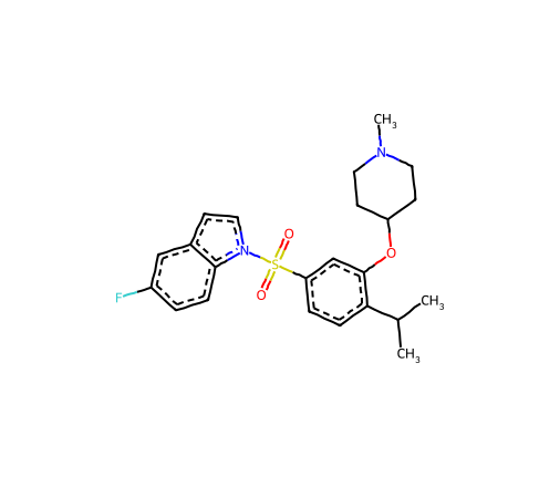 CC(C)c1ccc(S(=O)(=O)n2ccc3cc(F)ccc32)cc1OC1CCN(C)CC1